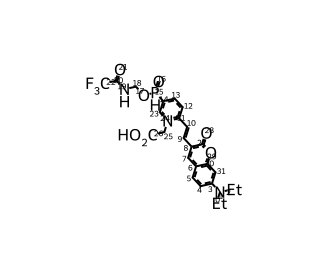 CCN(CC)c1ccc2cc(/C=C/c3ccc([PH](=O)OCNC(=O)C(F)(F)F)c[n+]3CC(=O)O)c(=O)oc2c1